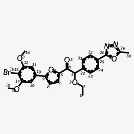 CCOC(C(=O)c1ccc(-c2cc(OC)c(Br)c(OC)c2)o1)c1ccc(-c2nnc(C)o2)cc1